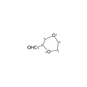 O=[C]C1COCCO1